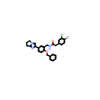 O=C(Cc1ccc(Cl)c(Cl)c1)NCc1cc(-c2cn3c(n2)CCC3)ccc1OCc1ccccc1